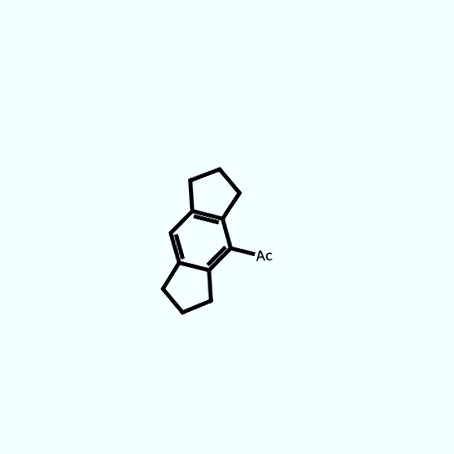 CC(=O)c1c2c(cc3c1CCC3)CCC2